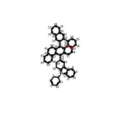 C1=CCC(p2c3c(c4ccccc42)C=C(c2c4ccccc4c(-c4cc5ccccc5cc4-c4ccccc4)c4ccc5ccccc5c24)CC3)C=C1